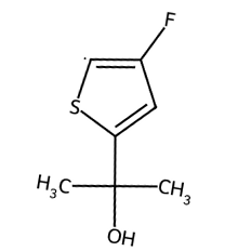 CC(C)(O)c1cc(F)[c]s1